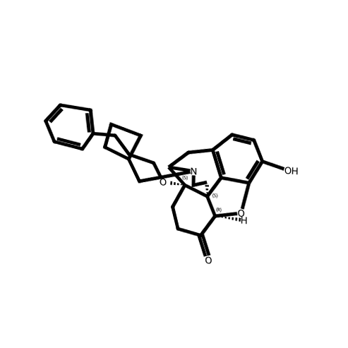 O=C1CC[C@@]2(OCCCc3ccccc3)C3Cc4ccc(O)c5c4[C@@]2(CCN3CC2CCC2)[C@H]1O5